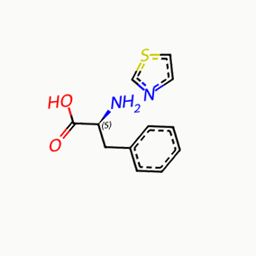 N[C@@H](Cc1ccccc1)C(=O)O.c1cscn1